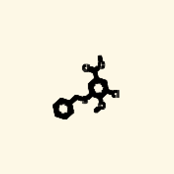 COC(=O)c1cc(Cl)c(OC)c(SCc2ccccc2)c1